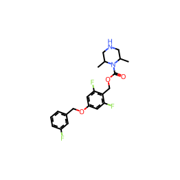 CC1CNCC(C)N1C(=O)OCc1c(F)cc(OCc2cccc(F)c2)cc1F